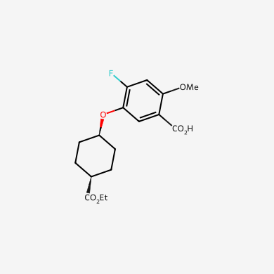 CCOC(=O)[C@H]1CC[C@@H](Oc2cc(C(=O)O)c(OC)cc2F)CC1